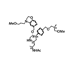 COCCCN1CCOc2ccc(CO[C@H]3CN[C@H](C[C@H](C)NC(C)=O)C[C@@H]3c3ccc(COC[C@@H](C)COC)cc3)cc21